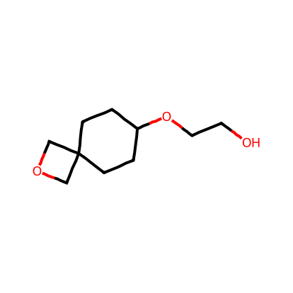 OCCOC1CCC2(CC1)COC2